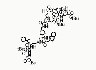 C=CCOC(=O)NCCCCC(NC(=O)CC(NC(=O)CC(NC(=O)CC(N)C(=O)OC(C)(C)C)C(=O)OC(C)(C)C)C(=O)OC(C)(C)C)C(=O)NCC1CCC(C(=O)NC(Cc2ccc3ccccc3c2)C(=O)NCCCCC(NC(=O)NC(CCC(=O)OC(C)(C)C)C(=O)OC(C)(C)C)C(=O)OC2CCCCC2)CC1